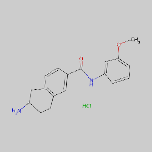 COc1cccc(NC(=O)c2ccc3c(c2)CCC(N)C3)c1.Cl